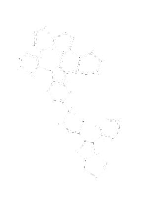 C1=CC2N=C(c3ccc(-c4ccc5c(c4)c4c6ccccc6c6ccc7ccccc7c6c4n5-c4ccccc4)cc3)C(c3ccccc3)N2C=C1